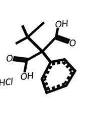 CC(C)(C)C(C(=O)O)(C(=O)O)c1ccccc1.Cl